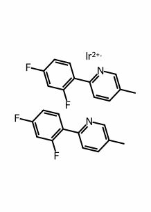 Cc1ccc(-c2ccc(F)cc2F)nc1.Cc1ccc(-c2ccc(F)cc2F)nc1.[Ir+2]